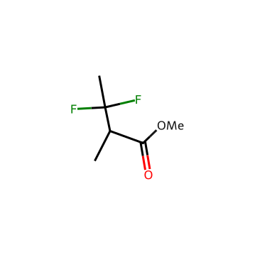 COC(=O)C(C)C(C)(F)F